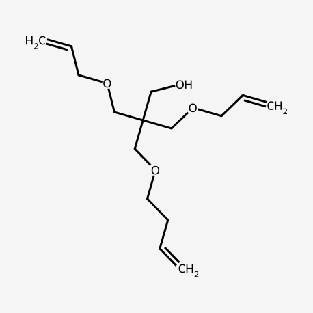 C=CCCOCC(CO)(COCC=C)COCC=C